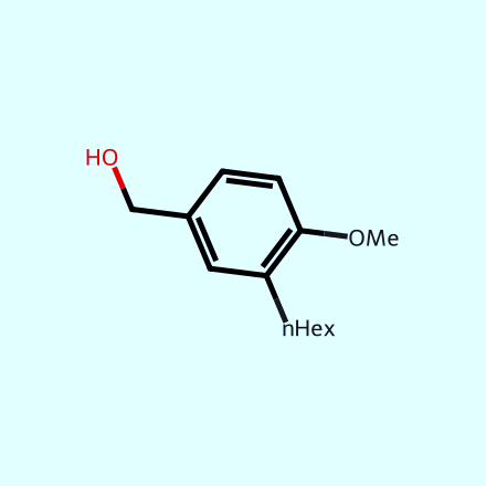 CCCCCCc1cc(CO)ccc1OC